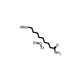 CCCCCCCCCCCCCCCCCC(N)=O.CCOCC